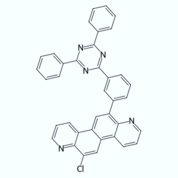 Clc1cc2c3cccnc3c(-c3cccc(-c4nc(-c5ccccc5)nc(-c5ccccc5)n4)c3)cc2c2cccnc12